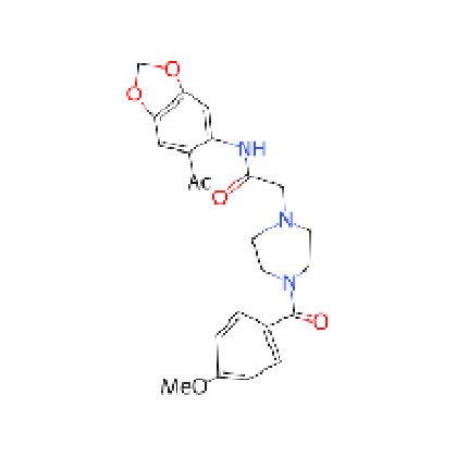 COc1ccc(C(=O)N2CCN(CC(=O)Nc3cc4c(cc3C(C)=O)OCO4)CC2)cc1